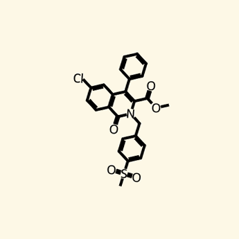 COC(=O)c1c(-c2ccccc2)c2cc(Cl)ccc2c(=O)n1Cc1ccc(S(C)(=O)=O)cc1